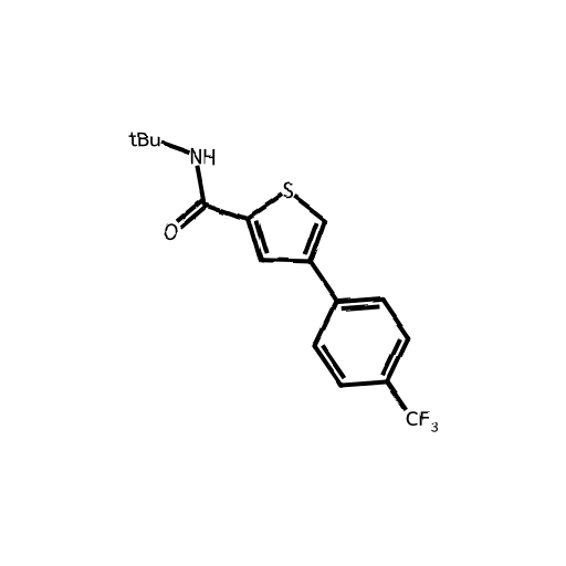 CC(C)(C)NC(=O)c1cc(-c2ccc(C(F)(F)F)cc2)cs1